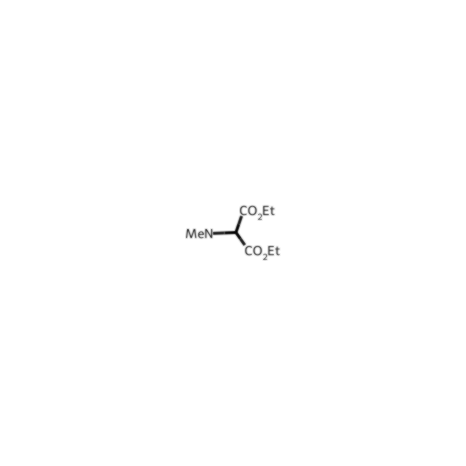 CCOC(=O)C(NC)C(=O)OCC